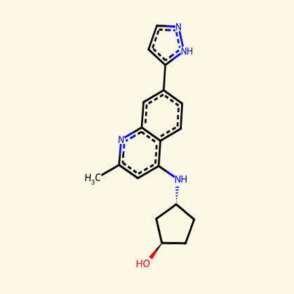 Cc1cc(N[C@@H]2CC[C@@H](O)C2)c2ccc(-c3ccn[nH]3)cc2n1